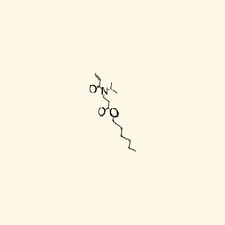 C=CC(=O)N(CCC(=O)OCCCCCC)C(C)C